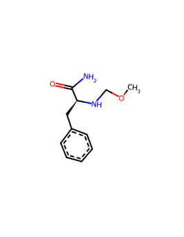 COCN[C@@H](Cc1ccccc1)C(N)=O